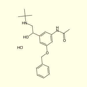 CC(=O)Nc1cc(OCc2ccccc2)cc(C(O)CNC(C)(C)C)c1.Cl